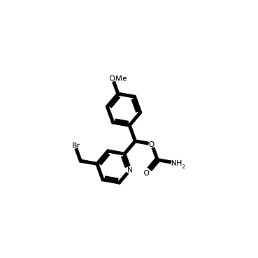 COc1ccc(C(OC(N)=O)c2cc(CBr)ccn2)cc1